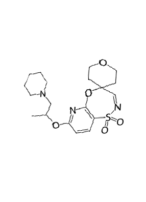 CC(CN1CCCCC1)Oc1ccc2c(n1)OC1(C=NS2(=O)=O)CCOCC1